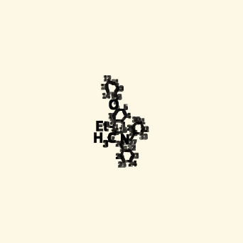 CCC(c1cccc(OCc2ccccc2)c1)C(C)CN(Cc1ccccc1)Cc1ccccc1